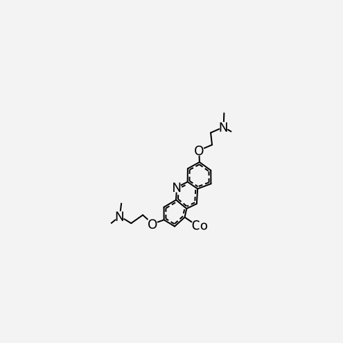 CN(C)CCOc1ccc2cc3[c]([Co])cc(OCCN(C)C)cc3nc2c1